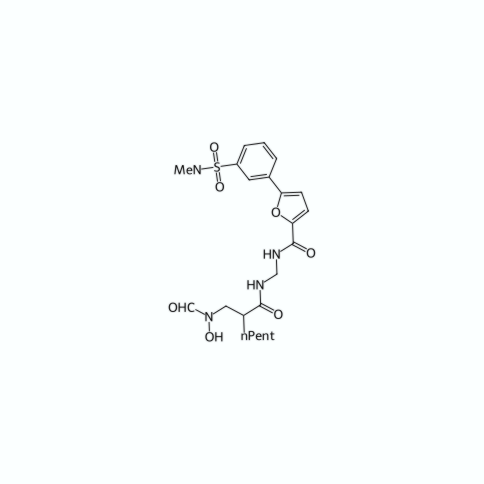 CCCCCC(CN(O)C=O)C(=O)NCNC(=O)c1ccc(-c2cccc(S(=O)(=O)NC)c2)o1